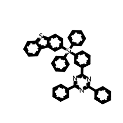 c1ccc(-c2nc(-c3ccccc3)nc(-c3cccc([Si](c4ccccc4)(c4ccccc4)c4ccc5sc6ccccc6c5c4)c3)n2)cc1